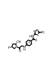 CCc1nnc(NC(=O)C23CCC(NCC(=O)N4C[C@@H](F)C[C@H]4C#N)(CC2)CC3)s1